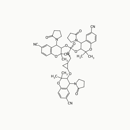 CC1(C)Oc2ccc(C#N)cc2C(N2CCCC2=O)C1OC1CC1COP(=O)(OC1C(N2CCCC2=O)c2cc(C#N)ccc2OC1(C)C)OC1C(N2CCCC2=O)c2cc(C#N)ccc2OC1(C)C